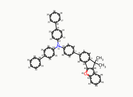 CC1(C)c2ccc(-c3ccc(N(c4ccc(-c5ccccc5)cc4)c4ccc(-c5ccccc5)cc4)cc3)cc2-c2oc3ccccc3c21